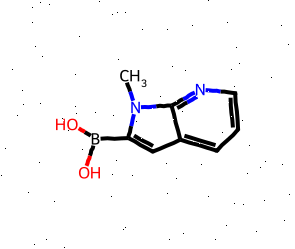 Cn1c(B(O)O)cc2cccnc21